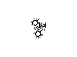 Cc1cccc(C)c1NS(=O)(=O)Cc1ccccc1